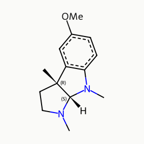 COc1ccc2c(c1)[C@@]1(C)CCN(C)[C@H]1N2C